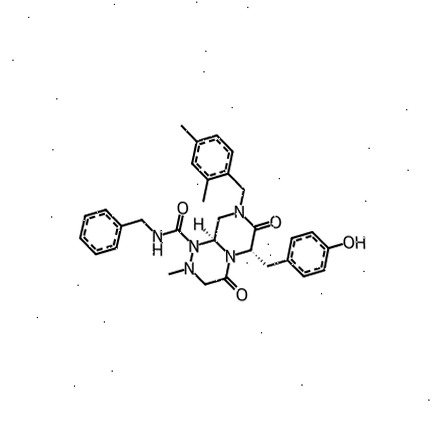 Cc1ccc(CN2C[C@H]3N(C(=O)CN(C)N3C(=O)NCc3ccccc3)[C@@H](Cc3ccc(O)cc3)C2=O)c(C)c1